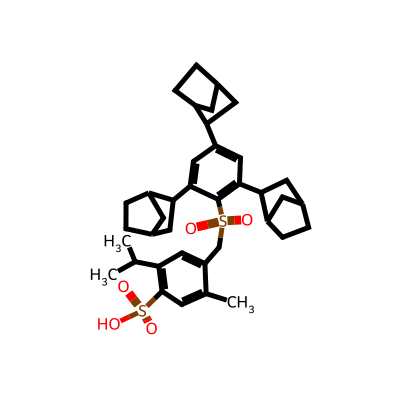 Cc1cc(S(=O)(=O)O)c(C(C)C)cc1CS(=O)(=O)c1c(C2CC3CCC2C3)cc(C2CC3CCC2C3)cc1C1CC2CCC1C2